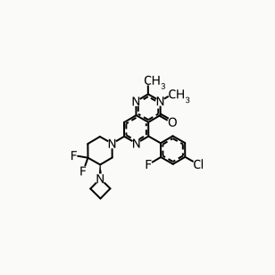 Cc1nc2cc(N3CCC(F)(F)[C@H](N4CCC4)C3)nc(-c3ccc(Cl)cc3F)c2c(=O)n1C